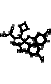 O=C(O)CN(C1CCC1)C1(Cc2cccc(Cl)c2)C(=O)Nc2cc(Cl)ccc21